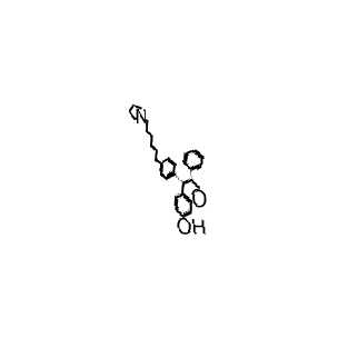 Oc1ccc2c(c1)OC[C@@H](c1ccccc1)[C@H]2c1ccc(CCCCCCN2CCCC2)cc1